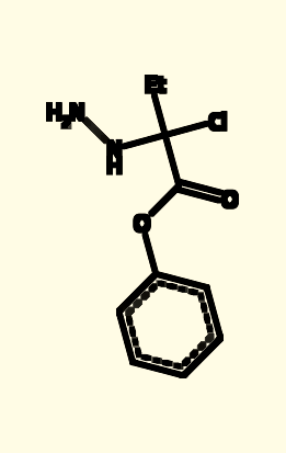 CCC(Cl)(NN)C(=O)Oc1ccccc1